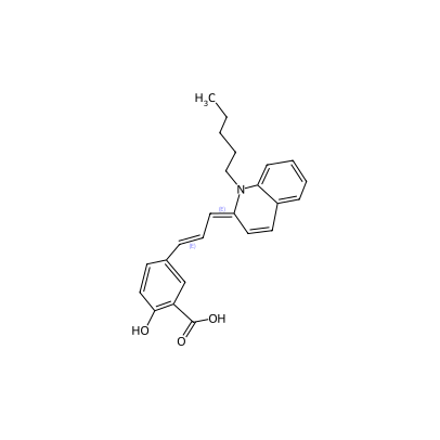 CCCCCN1/C(=C/C=C/c2ccc(O)c(C(=O)O)c2)C=Cc2ccccc21